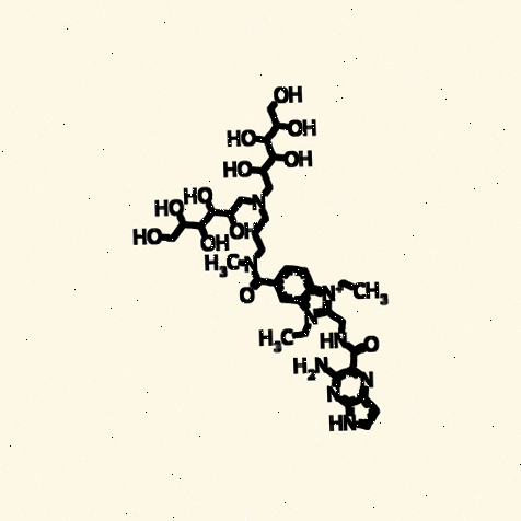 CCn1c(CNC(=O)c2nc3cc[nH]c3nc2N)[n+](CC)c2ccc(C(=O)N(C)CCCN(CC(O)C(O)C(O)C(O)CO)CC(O)C(O)C(O)C(O)CO)cc21